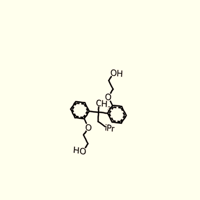 CC(C)CC(C)(c1ccccc1OCCO)c1ccccc1OCCO